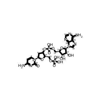 Nc1ccn([C@H]2CC(OP(=O)(O)OC[C@H]3O[C@@H](n4cnc5c(N)ncnc54)[C@H](O)[C@@H]3O)[C@@H](COP(=O)(O)O)O2)c(=O)n1